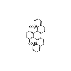 CCOC(=O)c1ccc(C(=O)O)c(-c2cccc3ccccc23)c1-c1cccc2ccccc12